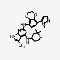 Cn1nccc1-c1ccc(Nc2nc(NC3CCOC(C)(C)C3)c3c(C(F)(F)F)c[nH]c3n2)c2c1OCCO2